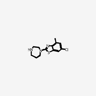 Cc1cc(Cl)cc2sc(N3CCCNCC3)nc12